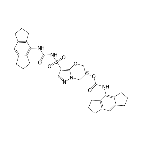 O=C(Nc1c2c(cc3c1CCC3)CCC2)NS(=O)(=O)c1cnn2c1OC[C@H](OC(=O)Nc1c3c(cc4c1CCC4)CCC3)C2